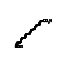 CCCCCCCCC=CCC=CCCCCC=CC(=O)O